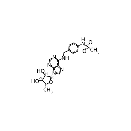 C[C@H]1O[C@@H](n2cnc3c(NCc4ccc(NS(C)(=O)=O)cc4)ncnc32)[C@H](O)[C@@H]1O